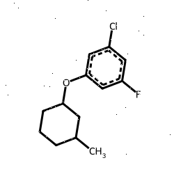 CC1CCCC(Oc2cc(F)cc(Cl)c2)C1